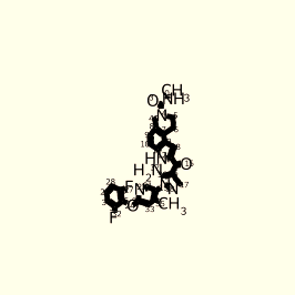 CNC(=O)N1CCc2c(ccc3[nH]c(C(=O)c4cnn(-c5cnc(Oc6c(F)cccc6F)cc5C)c4N)cc23)C1